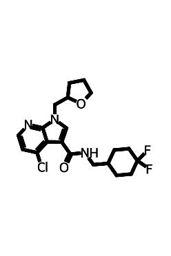 O=C(NCC1CCC(F)(F)CC1)c1cn(CC2CCCO2)c2nccc(Cl)c12